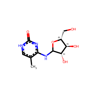 Cc1c[nH]c(=O)nc1NC1O[C@H](CO)[C@@H](O)[C@@H]1O